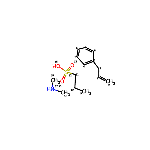 C=CCc1ccccc1.CCCS(=O)(=O)O.CNC